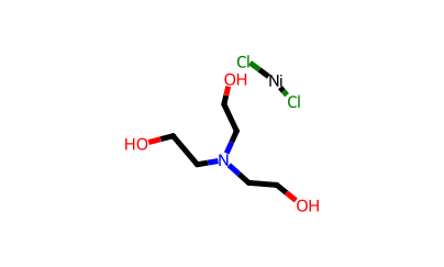 OCCN(CCO)CCO.[Cl][Ni][Cl]